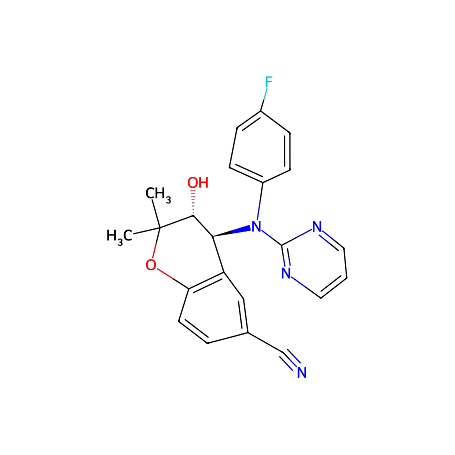 CC1(C)Oc2ccc(C#N)cc2[C@H](N(c2ccc(F)cc2)c2ncccn2)[C@H]1O